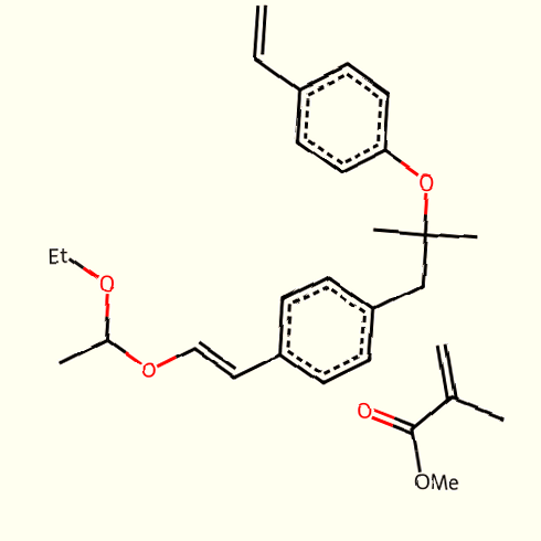 C=C(C)C(=O)OC.C=Cc1ccc(OC(C)(C)Cc2ccc(C=COC(C)OCC)cc2)cc1